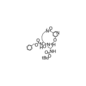 CN1CCCC[C@H](NC(=O)OCc2ccccc2)C(=O)N2C[C@@H](NC(=O)OC(C)(C)C)C[C@H]2COc2cncc(c2)C1=O